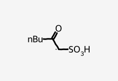 CCCCC(=O)[CH]S(=O)(=O)O